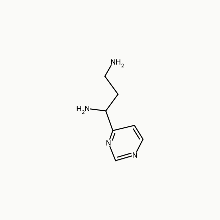 NCCC(N)c1ccncn1